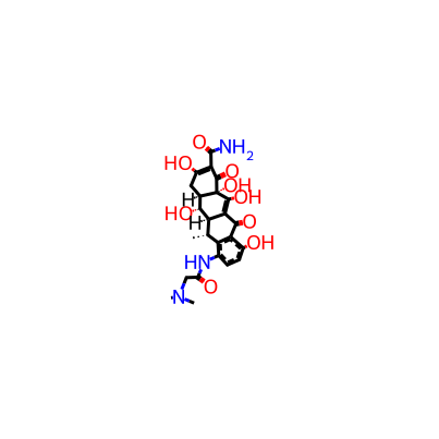 C[C@H]1c2c(NC(=O)CN(C)C)ccc(O)c2C(=O)C2=C(O)[C@]3(O)C(=O)C(C(N)=O)=C(O)C[C@@H]3[C@@H](O)[C@@H]21